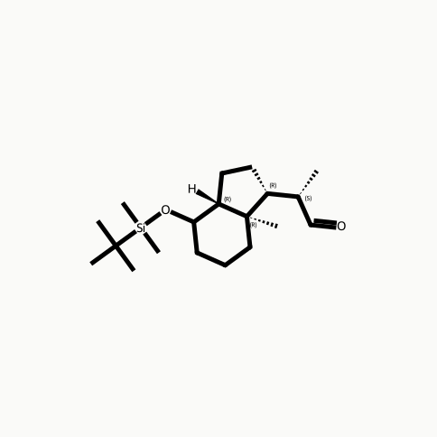 C[C@H](C=O)[C@H]1CC[C@H]2C(O[Si](C)(C)C(C)(C)C)CCC[C@]12C